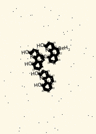 Oc1ccc2ccc3cccc(O)c3c2n1.Oc1ccc2ccc3cccc(O)c3c2n1.Oc1ccc2ccc3cccc(O)c3c2n1.[BeH2]